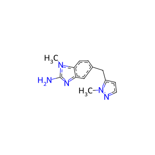 Cn1nccc1Cc1ccc2c(c1)nc(N)n2C